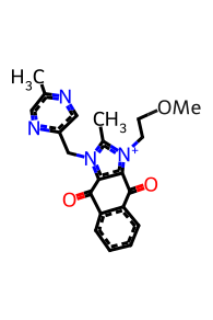 COCC[n+]1c2c(n(Cc3cnc(C)cn3)c1C)C(=O)c1ccccc1C2=O